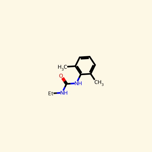 CCNC(=O)Nc1c(C)cccc1C